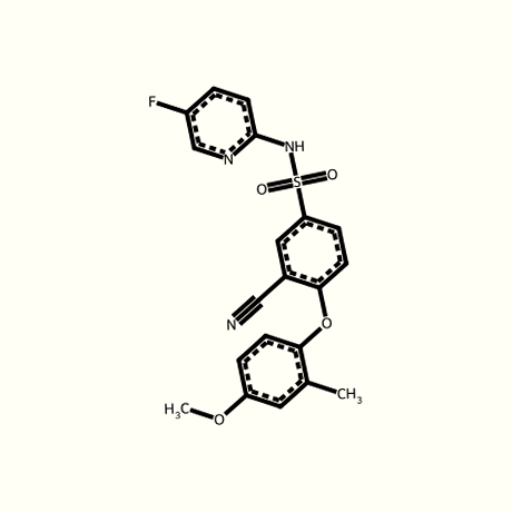 COc1ccc(Oc2ccc(S(=O)(=O)Nc3ccc(F)cn3)cc2C#N)c(C)c1